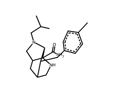 Cc1ccc(CC2C3CNC4(C(N)=O)C(C3)CN(CC(C)C)C24)cc1